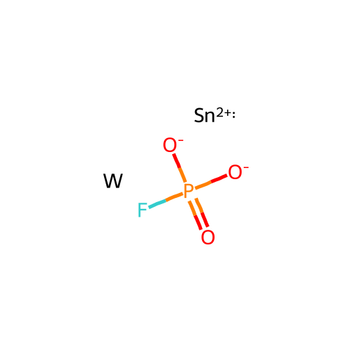 O=P([O-])([O-])F.[Sn+2].[W]